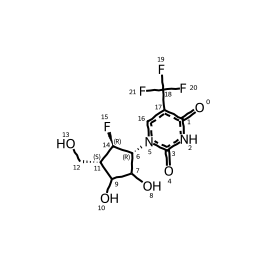 O=c1[nH]c(=O)n([C@@H]2C(O)C(O)[C@H](CO)[C@H]2F)cc1C(F)(F)F